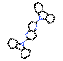 c1ccc2c(c1)c1ccccc1n2-c1ccc2nc(-n3c4ccccc4c4ccccc43)ccc2n1